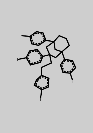 Ic1ccc(CCC2(c3ccc(I)cc3)CC3(c4ccc(I)cc4)CCCC(c4ccc(I)cc4)(C3)C2)cc1